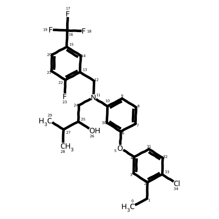 CCc1cc(Oc2cccc(N(Cc3cc(C(F)(F)F)ccc3F)CC(O)C(C)C)c2)ccc1Cl